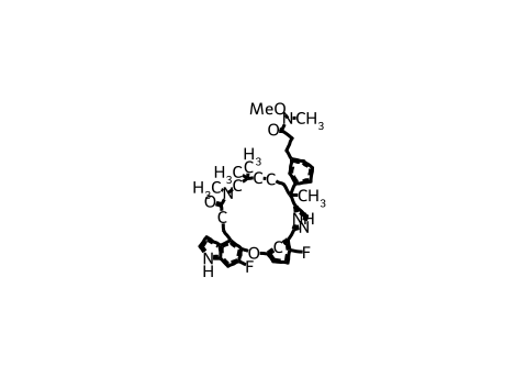 CON(C)C(=O)CCc1cccc(C2(C)CCCC(C)(C)CN(C)C(=O)CCc3c(c(F)cc4[nH]ccc34)Oc3ccc(F)c(c3)-c3ncc2[nH]3)c1